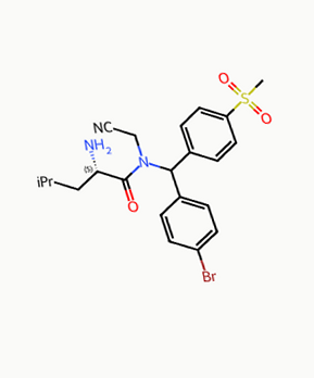 CC(C)C[C@H](N)C(=O)N(CC#N)C(c1ccc(Br)cc1)c1ccc(S(C)(=O)=O)cc1